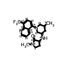 CC1CC(NC2CCN(C)C2=O)CN(c2ccc(C(F)(F)F)c3ncccc23)C1